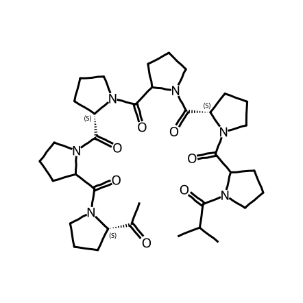 CC(=O)[C@@H]1CCCN1C(=O)C1CCCN1C(=O)[C@@H]1CCCN1C(=O)C1CCCN1C(=O)[C@@H]1CCCN1C(=O)C1CCCN1C(=O)C(C)C